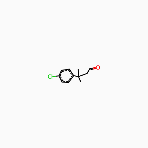 CC(C)(CC=O)c1ccc(Cl)cc1